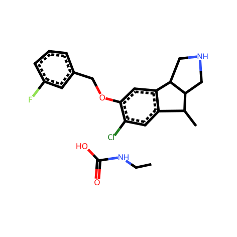 CC1c2cc(Cl)c(OCc3cccc(F)c3)cc2C2CNCC12.CCNC(=O)O